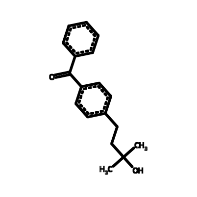 CC(C)(O)CCc1ccc(C(=O)c2ccccc2)cc1